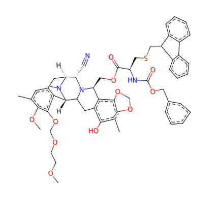 COCCOCOc1c(OC)c(C)cc2c1[C@H]1C3Cc4c(O)c(C)c5c(c4[C@H](COC(=O)[C@@H](CSCC4c6ccccc6-c6ccccc64)NC(=O)OCc4ccccc4)N3[C@@H](C#N)[C@H](C2)N1C)OCO5